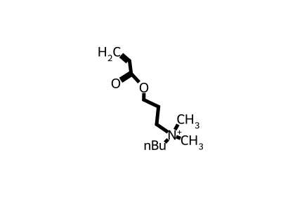 C=CC(=O)OCCC[N+](C)(C)CCCC